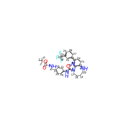 CC(C)(C)OC(=O)NCc1ccc(NC(=O)N2CCCCNc3ccc(-c4cccc(C(F)(F)F)c4)nc32)cc1